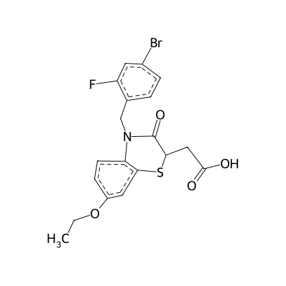 CCOc1ccc2c(c1)SC(CC(=O)O)C(=O)N2Cc1ccc(Br)cc1F